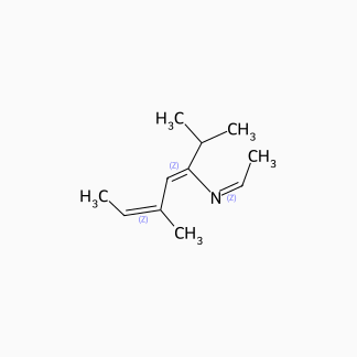 C\C=N/C(=C\C(C)=C/C)C(C)C